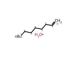 C=CCCCCCCCCC.O